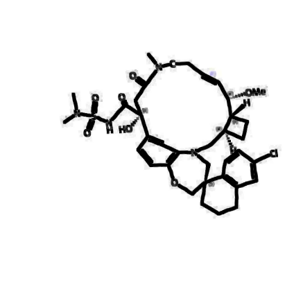 CO[C@H]1/C=C/CCN(C)C(=O)C[C@](O)(C(=O)NS(=O)(=O)N(C)C)c2ccc3c(c2)N(C[C@@H]2CC[C@H]21)C[C@@]1(CCCc2cc(Cl)ccc21)CO3